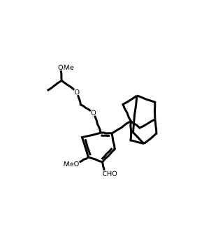 COc1cc(OCOC(C)OC)c(C23CC4CC(CC(C4)C2)C3)cc1C=O